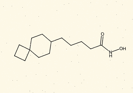 O=C(CCCCC1CCC2(CCC2)CC1)NO